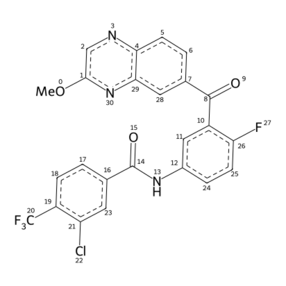 COc1cnc2ccc(C(=O)c3cc(NC(=O)c4ccc(C(F)(F)F)c(Cl)c4)ccc3F)cc2n1